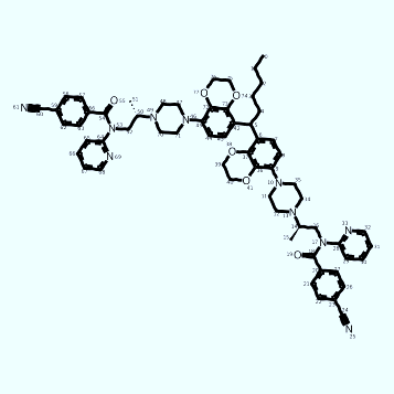 CCCCCC(c1ccc(N2CCN([C@H](C)CN(C(=O)c3ccc(C#N)cc3)c3ccccn3)CC2)c2c1OCCO2)c1ccc(N2CCN([C@@H](C)CN(C(=O)c3ccc(C#N)cc3)c3ccccn3)CC2)c2c1OCCO2